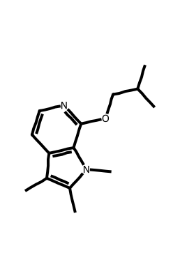 Cc1c(C)n(C)c2c(OCC(C)C)nccc12